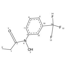 CCC(=O)N(O)c1cccc(C(F)(F)F)c1